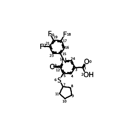 O=C(O)c1cc(SC2CCCC2)c(=O)n(-c2cc(F)c(F)c(F)c2)c1